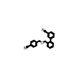 N#Cc1ccc(COCc2ccccc2-c2cccc(C#N)c2)cc1